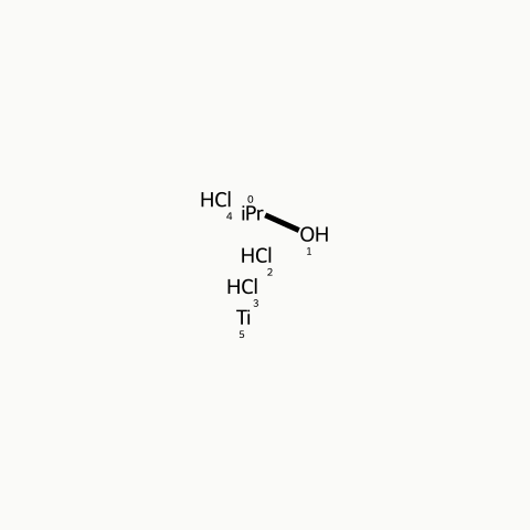 CC(C)O.Cl.Cl.Cl.[Ti]